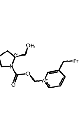 CC(C)Cc1ccc[n+](COC(=O)N2CCC[C@H]2CO)c1